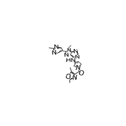 CCn1c(-c2cnc(C)nc2)nc2c(N[C@H]3CCN(C(=O)c4nc(C)oc4C)C3)ncnc21